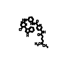 CN(C)CCCC(=O)Nc1ccc(C(=O)Nc2cccc(Nc3ncc(Cl)c(-c4c[nH]c5ccccc45)n3)c2)nc1